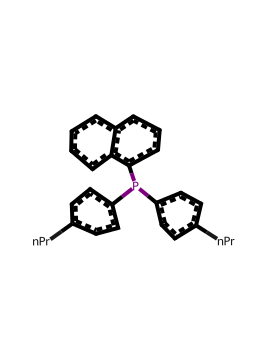 CCCc1ccc(P(c2ccc(CCC)cc2)c2cccc3ccccc23)cc1